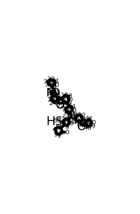 Cc1ccccc1-c1ccc(N(c2ccc(-c3cccc4c3oc3ccc5nc(-c6ccccc6)oc5c34)cc2)c2ccc3c(c2)oc2ccccc23)cc1S